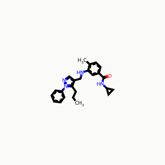 CCCc1c(CNc2cc(C(=O)NC3CC3)ccc2C)cnn1-c1ccccc1